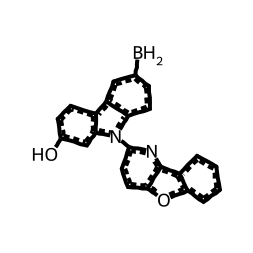 Bc1ccc2c(c1)c1ccc(O)cc1n2-c1ccc2oc3ccccc3c2n1